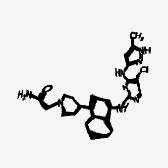 Cc1cc(Nc2nc(Nc3ccc(C4CCN(CC(N)=O)CC4)c4ccccc34)ncc2Cl)n[nH]1